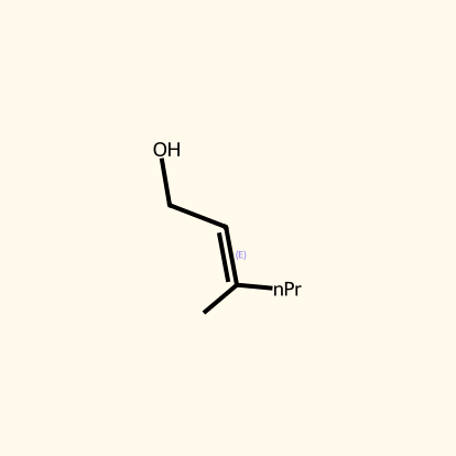 CCC/C(C)=C/CO